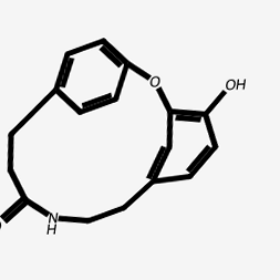 O=C1CCc2ccc(cc2)Oc2cc(ccc2O)CCN1